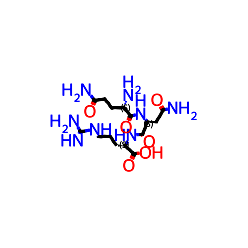 N=C(N)NCCC[C@H](NC(=O)[C@H](CC(N)=O)NC(=O)[C@@H](N)CCC(N)=O)C(=O)O